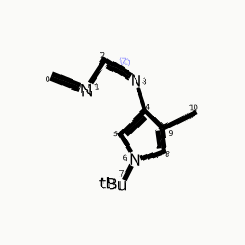 C=N/C=N\c1cn(C(C)(C)C)cc1C